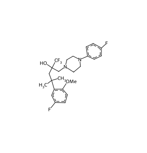 COc1ccc(F)cc1C(C)(C)CC(O)(CN1CCN(c2ccc(F)cc2)CC1)C(F)(F)F